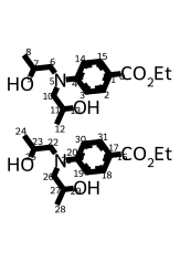 CCOC(=O)c1ccc(N(CC(C)O)CC(C)O)cc1.CCOC(=O)c1ccc(N(CC(C)O)CC(C)O)cc1